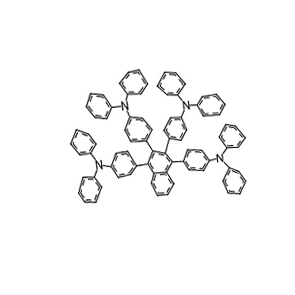 c1ccc(N(c2ccccc2)c2ccc(-c3c(-c4ccc(N(c5ccccc5)c5ccccc5)cc4)c(-c4ccc(N(c5ccccc5)c5ccccc5)cc4)c4ccccc4c3-c3ccc(N(c4ccccc4)c4ccccc4)cc3)cc2)cc1